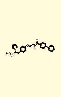 O=C(NCCOc1ccc(CC(C(=O)O)n2cccc2)cc1)c1ccc(-c2ccccc2)cc1